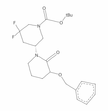 CC(C)(C)OC(=O)N1C[C@H](N2CCCC(OCc3ccccc3)C2=O)CC(F)(F)C1